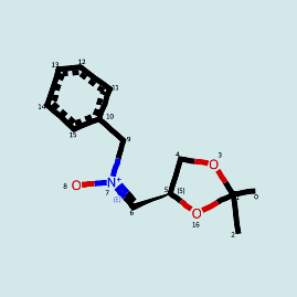 CC1(C)OC[C@H](/C=[N+](/[O-])Cc2ccccc2)O1